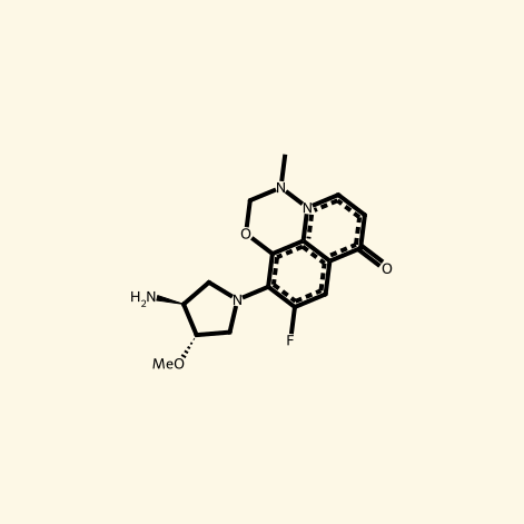 CO[C@H]1CN(c2c(F)cc3c(=O)ccn4c3c2OCN4C)C[C@@H]1N